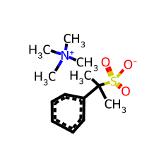 CC(C)(c1ccccc1)S(=O)(=O)[O-].C[N+](C)(C)C